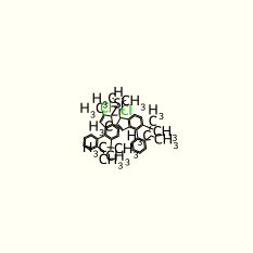 CCc1ccccc1-c1c(C(C)(C)C)ccc2c1C=C(C)[CH]2[Zr]([Cl])([Cl])([CH]1C(C)=Cc2c1ccc(C(C)(C)C)c2-c1ccccc1CC)[SiH](C)C